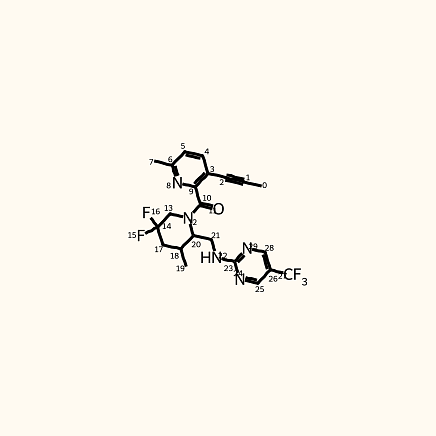 CC#Cc1ccc(C)nc1C(=O)N1CC(F)(F)CC(C)C1CNc1ncc(C(F)(F)F)cn1